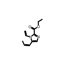 C=Cn1c(/C=C\C)cnc1C(=O)OCC